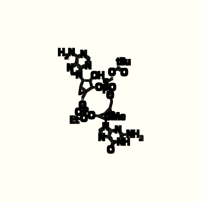 CCOP1(=O)OCC23CC2C(n2cnc4c(N)ncnc42)C(O)C3OP(=O)(SCOC(=O)C(C)(C)C)OCC2OC(n3cnc4c(=O)[nH]c(N)nc43)C(O1)C2OC